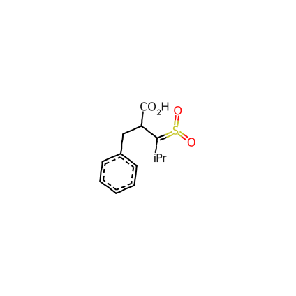 CC(C)C(C(Cc1ccccc1)C(=O)O)=S(=O)=O